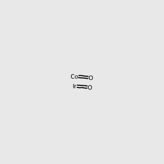 [O]=[Co].[O]=[Ir]